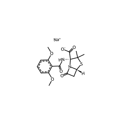 COc1cccc(OC)c1C(=O)N[C@@]1(C(=O)[O-])N2C(=O)C[C@H]2SC1(C)C.[Na+]